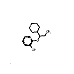 CCC(Oc1ccccc1O)C1CCCCC1